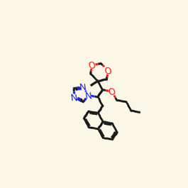 CCCCOC(C(Cc1cccc2ccccc12)n1cncn1)C1(C)COCOC1